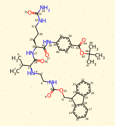 CC(C)[C@H](NCCNC(=O)OCC1c2ccccc2-c2ccccc21)C(=O)N[C@@H](CCCNC(N)=O)C(=O)Nc1ccc(C(=O)OC(C)(C)C)cc1